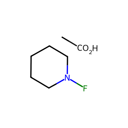 CC(=O)O.FN1CCCCC1